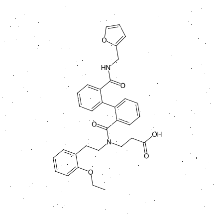 CCOc1ccccc1CCN(CCC(=O)O)C(=O)c1ccccc1-c1ccccc1C(=O)NCc1ccco1